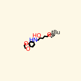 CC(C)(C)[Si](C)(C)OCCCC(O)CNc1ccc2c(c1)OCCO2